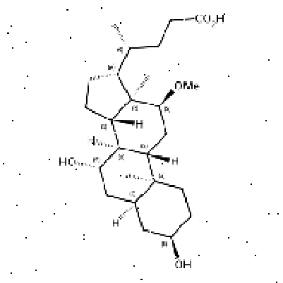 CO[C@H]1C[C@H]2[C@@H]([C@@H](O)C[C@@H]3C[C@H](O)CC[C@@]32C)[C@@H]2CC[C@H]([C@H](C)CCC(=O)O)[C@@]12C